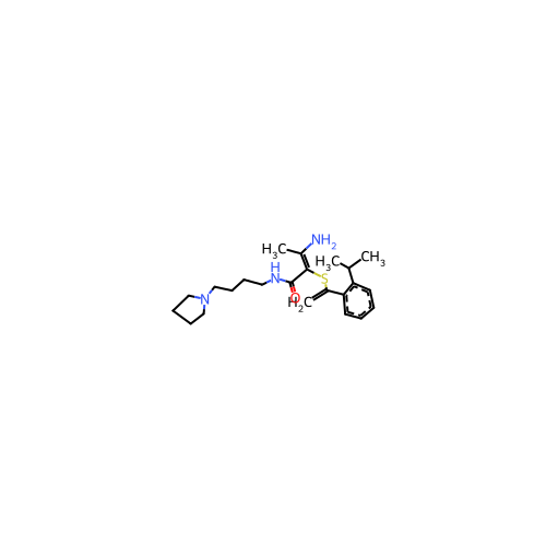 C=C(S/C(C(=O)NCCCCN1CCCC1)=C(/C)N)c1ccccc1C(C)C